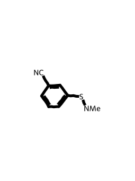 CNSc1cccc(C#N)c1